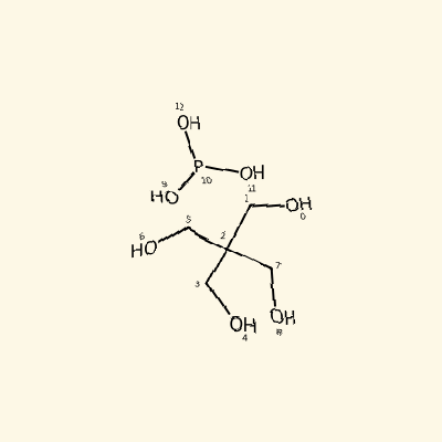 OCC(CO)(CO)CO.OP(O)O